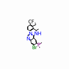 Cc1c(C(C)Nc2ncnc3cc(Br)c(P(C)C)cc23)cccc1C(F)(F)F